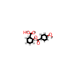 COc1ccc(C(=O)Oc2ccccc2C(=O)O)cc1